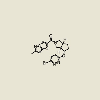 Cc1cc2sc(C(=O)N3C[C@@H]4CC[C@@H](Oc5ccc(Br)nn5)[C@@H]4C3)cn2n1